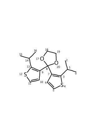 CC(C)c1sccc1C1(c2ccsc2C(C)C)OCCO1